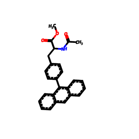 COC(=O)C(Cc1ccc(-c2c3ccccc3cc3ccccc23)cc1)NC(C)=O